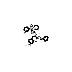 O=C(OCc1ccccc1)C(Cc1ccc(O)cc1)NC(=O)[C@@H]1CCCCN1S(=O)(=O)c1cccc(F)c1